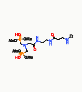 CCNCCC(=O)NCCNC(=O)CN(C[PH](O)(OC)OC)C[PH](O)(OC)OC